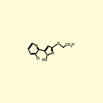 O=C(O)COc1cc(-c2ncccc2Cl)n(O)n1